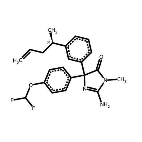 C=CC[C@@H](C)c1cccc(C2(c3ccc(OC(F)F)cc3)N=C(N)N(C)C2=O)c1